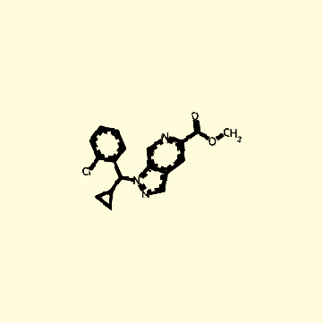 COC(=O)c1cc2cnn(C(c3ccccc3Cl)C3CC3)c2cn1